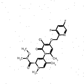 CON(C)C(=O)[C@H]1C=C(n2c(C)cc(OCc3ncc(F)cc3F)c(Cl)c2=O)C(C)=CN1C